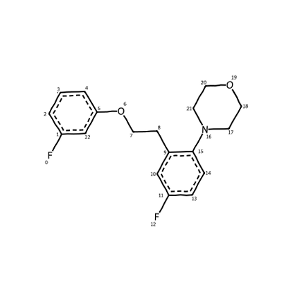 Fc1c[c]cc(OCCc2cc(F)ccc2N2CCOCC2)c1